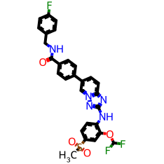 CS(=O)(=O)c1ccc(Nc2nc3ccc(-c4ccc(C(=O)NCc5ccc(F)cc5)cc4)cn3n2)c(OC(F)F)c1